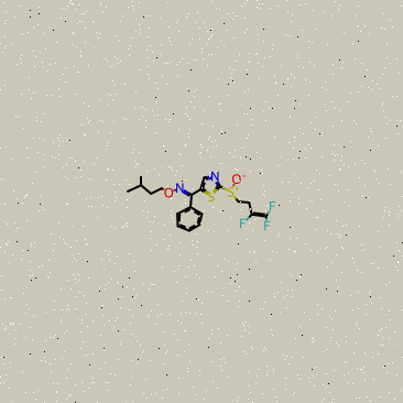 CC(C)CCO/N=C(\c1ccccc1)c1cnc([S+]([O-])CCC(F)=C(F)F)s1